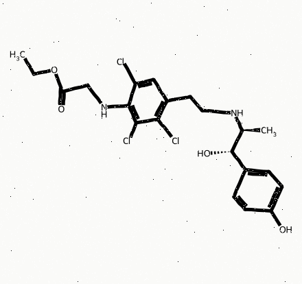 CCOC(=O)CNc1c(Cl)cc(CCN[C@@H](C)[C@@H](O)c2ccc(O)cc2)c(Cl)c1Cl